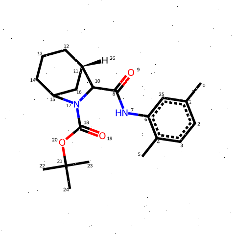 Cc1ccc(C)c(NC(=O)C2[C@H]3CCCC(C3)N2C(=O)OC(C)(C)C)c1